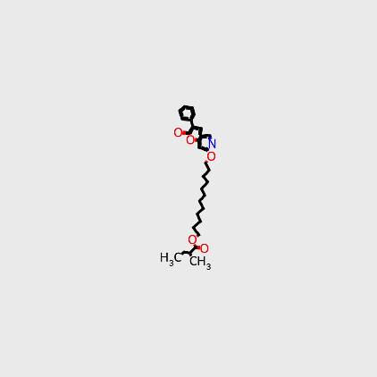 CCC(C)C(=O)OCCCCCCCCCCCCOc1cc2oc(=O)c(-c3ccccc3)cc2cn1